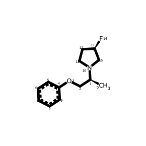 C[C@@H](COc1ccccc1)N1CC[C@@H](F)C1